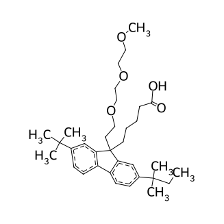 CCC(C)(C)c1ccc2c(c1)C(CCCCC(=O)O)(CCOCCOCCOC)c1cc(C(C)(C)C)ccc1-2